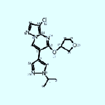 CC(C)n1cc(-c2cn3ncc(Cl)c3nc2OC2CCOC2)cn1